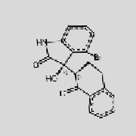 O=C1c2ccccc2CC[C@@H]1[C@]1(O)C(=O)Nc2cccc(Br)c21